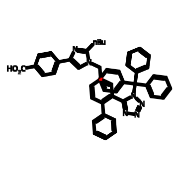 CCCCc1nc(-c2ccc(C(=O)O)cc2)cn1Cc1ccc(-c2ccccc2)c(-c2nnnn2C(c2ccccc2)(c2ccccc2)c2ccccc2)c1